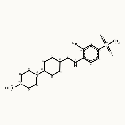 CS(=O)(=O)c1ccc(NCC2CCC(N3CCN(C(=O)O)CC3)CC2)c(F)c1